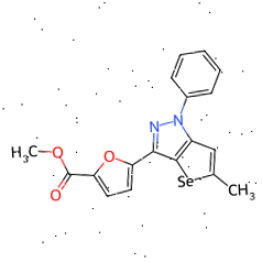 COC(=O)c1ccc(-c2nn(-c3ccccc3)c3cc(C)[se]c23)o1